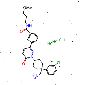 COCCCNC(=O)c1cccc(-c2ccc(=O)n([C@H]3CC[C@@](CN)(c4cccc(Cl)c4)CC3)n2)c1.Cl.Cl.Cl